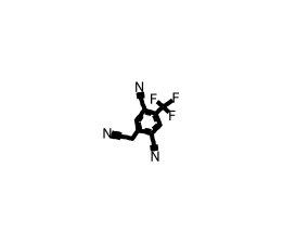 N#CCc1cc(C#N)c(C(F)(F)F)cc1C#N